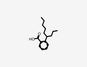 CCCCCC(CCC)c1ccccc1C(=O)O